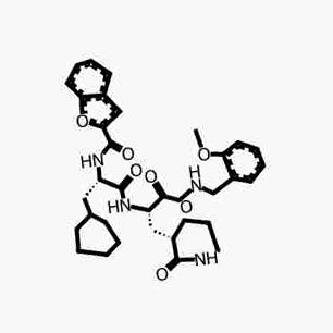 COc1ccccc1CNC(=O)C(=O)[C@H](C[C@@H]1CCCNC1=O)NC(=O)[C@H](CC1CCCCC1)NC(=O)c1cc2ccccc2o1